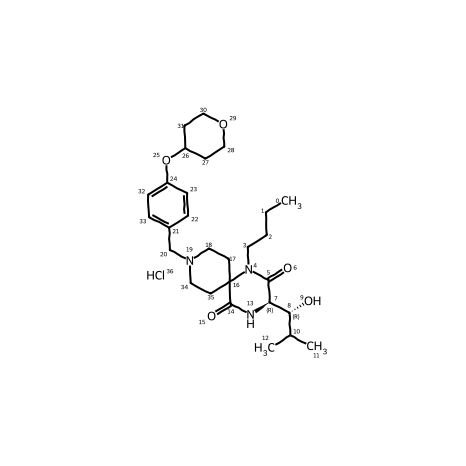 CCCCN1C(=O)[C@@H]([C@H](O)C(C)C)NC(=O)C12CCN(Cc1ccc(OC3CCOCC3)cc1)CC2.Cl